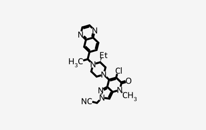 CC[C@@H]1CN(c2c(Cl)c(=O)n(C)c3cn(CC#N)nc23)CCN1C(C)c1ccc2nccnc2c1